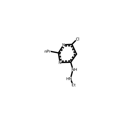 CCCc1nc(Cl)cc(NNCC)n1